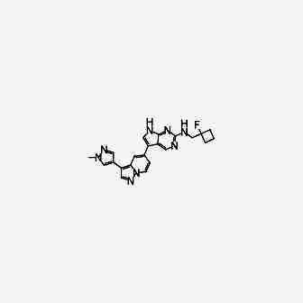 Cn1cc(-c2cnn3ccc(-c4c[nH]c5nc(NCC6(F)CCC6)ncc45)cc23)cn1